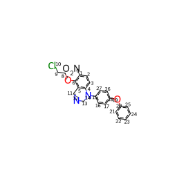 O=[N+]([O-])c1ccc2c(c1OCCCl)C=NCN2c1ccc(Oc2ccccc2)cc1